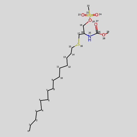 CCCCCCCCCCCCCCCCSCC(COS(C)(=O)=O)NC(=O)OC